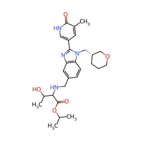 Cc1cc(-c2nc3cc(CNC(C(=O)OC(C)C)C(C)O)ccc3n2C[C@H]2CCCOC2)c[nH]c1=O